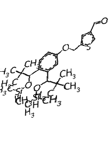 C[SiH](C)OC(c1ccc(OCc2cc(C=O)cs2)cc1C(O[SiH](C)C)C(C)(C)C)C(C)(C)C